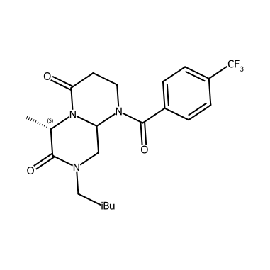 CCC(C)CN1CC2N(C(=O)c3ccc(C(F)(F)F)cc3)CCC(=O)N2[C@@H](C)C1=O